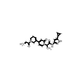 C=CC(=O)N1CCC=C(c2ccn(C(C)C(=O)Nc3cc(C4CC4)[nH]n3)c(=O)c2)C1